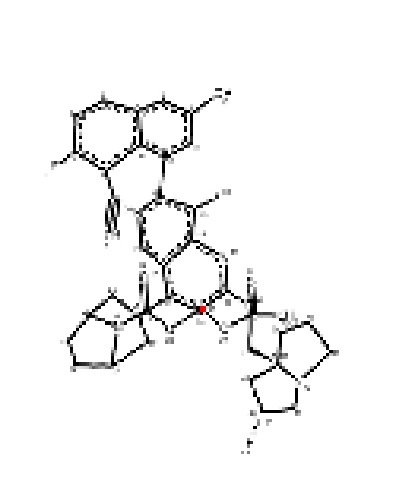 C#Cc1c(F)ccc2cc(O)cc(-c3ncc4c(N5CC6CCC(C5)N6C(=O)OCOC(C)=O)nc(OC[C@@]56CCCN5C[C@H](F)C6)nc4c3F)c12